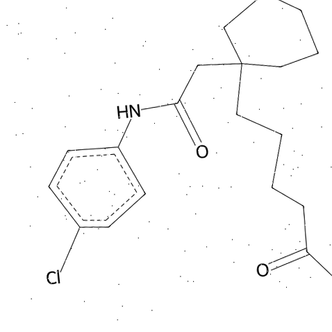 CC(=O)CCCCC1(CC(=O)Nc2ccc(Cl)cc2)CCCCC1